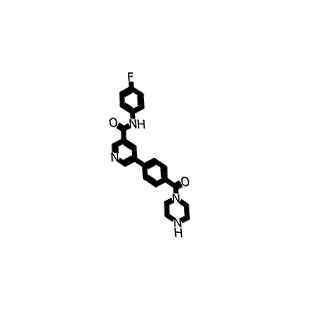 O=C(Nc1ccc(F)cc1)c1cncc(-c2ccc(C(=O)N3CCNCC3)cc2)c1